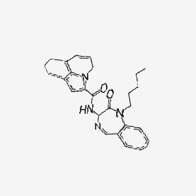 CCCCCN1C(=O)C(NC(=O)c2cc3c4n2CC=CC=4CCC=3)N=Cc2ccccc21